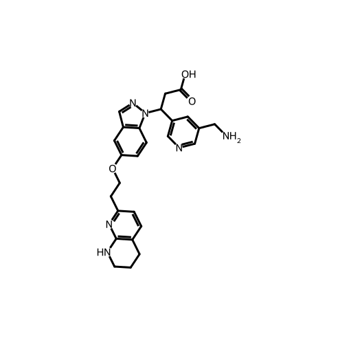 NCc1cncc(C(CC(=O)O)n2ncc3cc(OCCc4ccc5c(n4)NCCC5)ccc32)c1